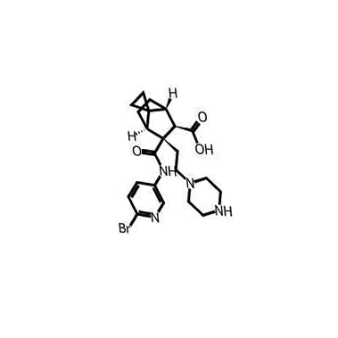 O=C(O)[C@@H]1[C@H]2CC[C@@H](C23CC3)[C@@]1(CCN1CCNCC1)C(=O)Nc1ccc(Br)nc1